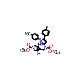 Cc1ccc(-c2cc(N(CC3[C@H]4CN(C(=O)OC(C)(C)C)C[C@@H]34)C(=O)OC(C)(C)C)nn2-c2ccc(C#N)cc2)cc1